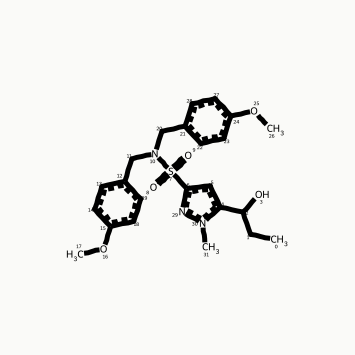 CCC(O)c1cc(S(=O)(=O)N(Cc2ccc(OC)cc2)Cc2ccc(OC)cc2)nn1C